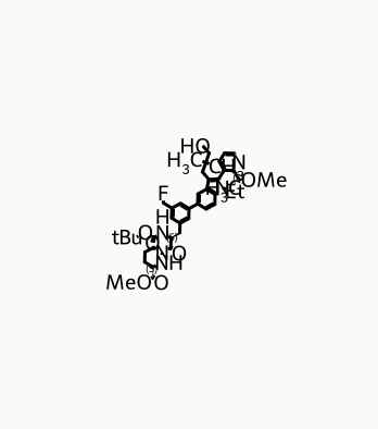 CCn1c(-c2cccnc2[C@H](C)OC)c(CC(C)(C)CO)c2cc(-c3cc(CF)cc(C[C@H](NC(=O)OC(C)(C)C)C(=O)N4CCC[C@@H](C(=O)OC)N4)c3)ccc21